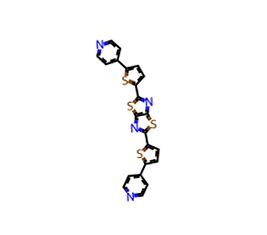 c1cc(-c2ccc(-c3nc4sc(-c5ccc(-c6ccncc6)s5)nc4s3)s2)ccn1